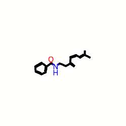 C=C(/C=C\C=C(C)C)CCNC(=O)c1ccccc1